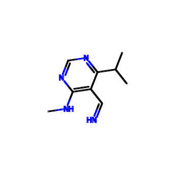 CNc1ncnc(C(C)C)c1C=N